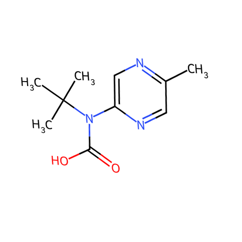 Cc1cnc(N(C(=O)O)C(C)(C)C)cn1